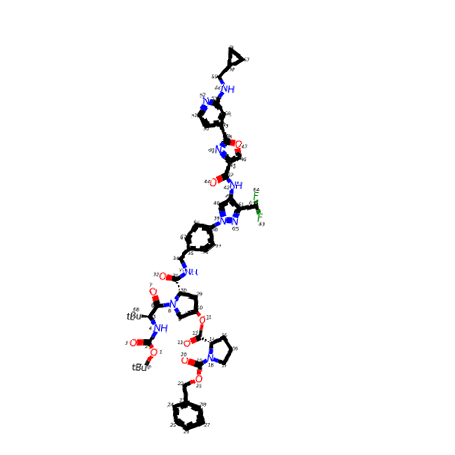 CC(C)(C)OC(=O)N[C@H](C(=O)N1C[C@H](OC(=O)[C@@H]2CCCN2C(=O)OCc2ccccc2)C[C@H]1C(=O)NCc1ccc(-n2cc(NC(=O)c3coc(-c4ccnc(NCC5CC5)c4)n3)c(C(F)F)n2)cc1)C(C)(C)C